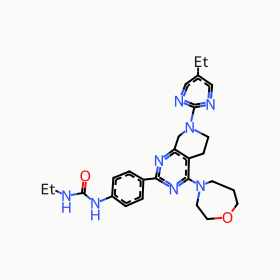 CCNC(=O)Nc1ccc(-c2nc3c(c(N4CCCOCC4)n2)CCN(c2ncc(CC)cn2)C3)cc1